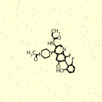 C=CC(=O)Nc1cnc2c(F)c(-c3c(O)cccc3F)c(Cl)cc2c1N1CCN(C(C)=O)CC1